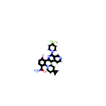 NC(=O)c1ccc(I)c(-c2cc3ccncc3c(N3CCC(F)(F)CC3)n2)c1N1CCC2(CC1)CC2